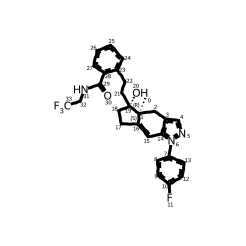 C[C@]12Cc3cnn(-c4ccc(F)cc4)c3C=C1CC[C@@]2(O)CCc1ccccc1C(=O)NCC(F)(F)F